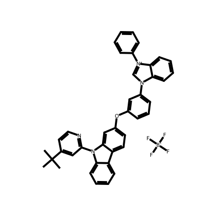 CC(C)(C)c1ccnc(-n2c3ccccc3c3ccc(Oc4cccc(-n5c[n+](-c6ccccc6)c6ccccc65)c4)cc32)c1.F[B-](F)(F)F